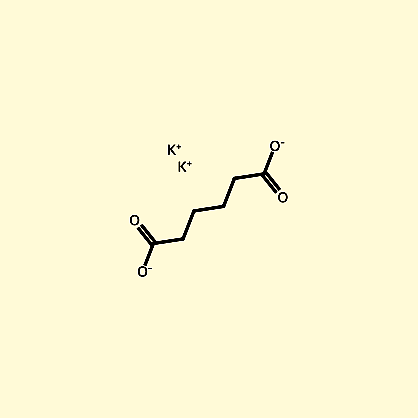 O=C([O-])CCCCC(=O)[O-].[K+].[K+]